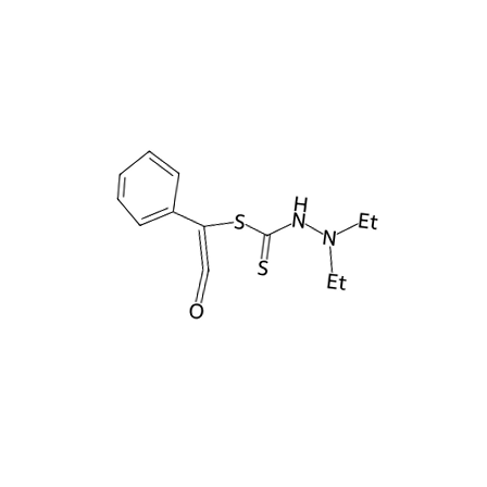 CCN(CC)NC(=S)SC(=C=O)c1ccccc1